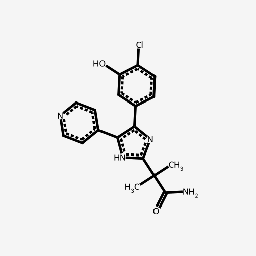 CC(C)(C(N)=O)c1nc(-c2ccc(Cl)c(O)c2)c(-c2ccncc2)[nH]1